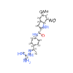 COc1cc(N=O)c2[nH]c(C(=O)Nc3ccc(/C(C)=N/NC(=N)N)cc3)cc2c1